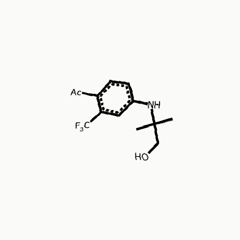 CC(=O)c1ccc(NC(C)(C)CO)cc1C(F)(F)F